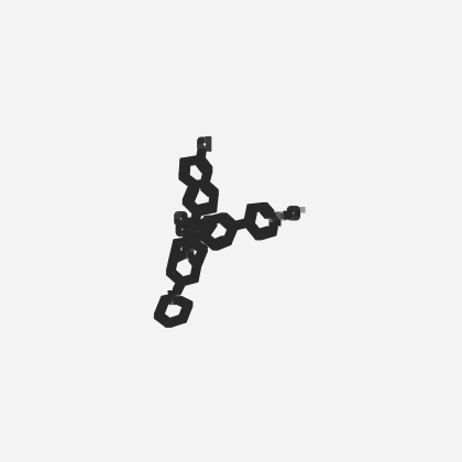 O=C(c1ccc(-c2cc[n+]([O-])cc2)cc1)N1C2CC(N3CCCCC3)CC1CN(S(=O)(=O)c1ccc3cc(Cl)ccc3c1)C2